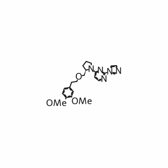 COc1ccc(CCOC[C@H]2CCCN2c2ccnc(-n3ccnc3)n2)cc1OC